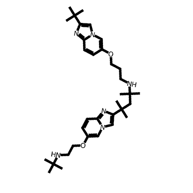 CC(C)(C)NCCOc1ccc2nc(C(C)(C)CC(C)(C)NCCCOc3ccc4nc(C(C)(C)C)cn4c3)cn2c1